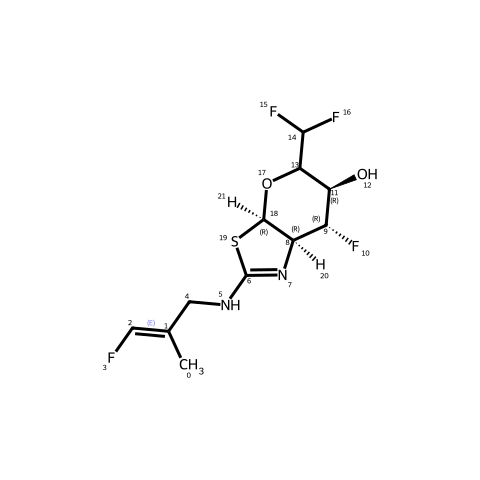 C/C(=C\F)CNC1=N[C@@H]2[C@@H](F)[C@H](O)C(C(F)F)O[C@@H]2S1